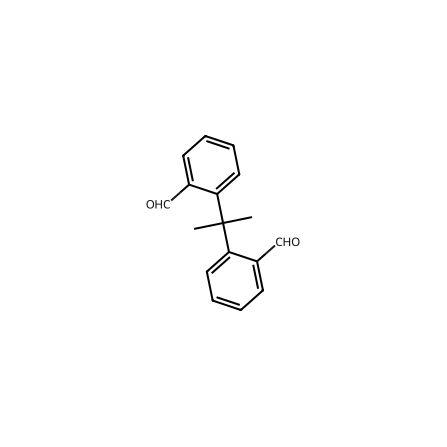 CC(C)(c1ccccc1C=O)c1ccccc1C=O